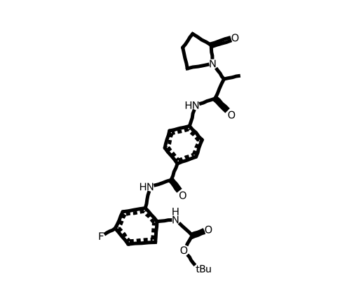 CC(C(=O)Nc1ccc(C(=O)Nc2cc(F)ccc2NC(=O)OC(C)(C)C)cc1)N1CCCC1=O